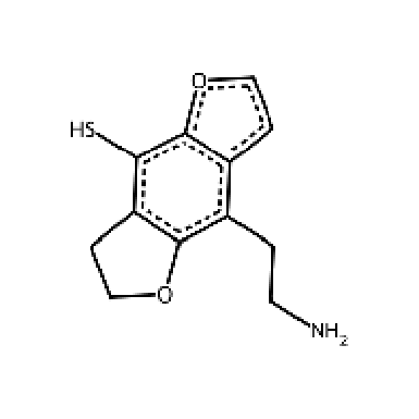 NCCc1c2c(c(S)c3occc13)CCO2